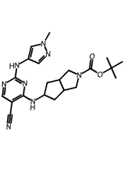 Cn1cc(Nc2ncc(C#N)c(NC3CC4CN(C(=O)OC(C)(C)C)CC4C3)n2)cn1